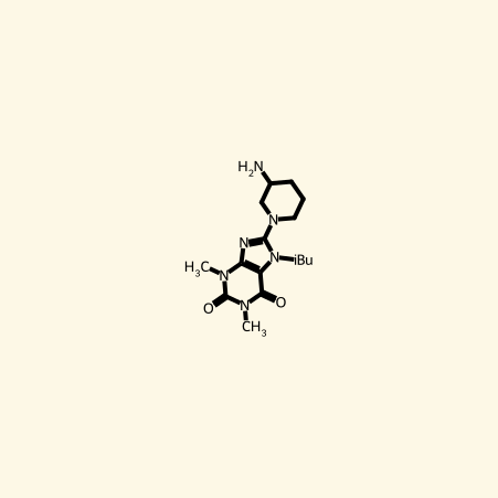 CCC(C)n1c(N2CCCC(N)C2)nc2c1c(=O)n(C)c(=O)n2C